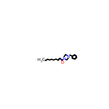 CCCCCCCC=CC(=O)N1CCN(Cc2ccccc2)CC1